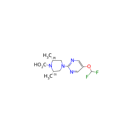 C[C@@H]1CN(c2ncc(OC(F)F)cn2)C[C@H](C)N1C(=O)O